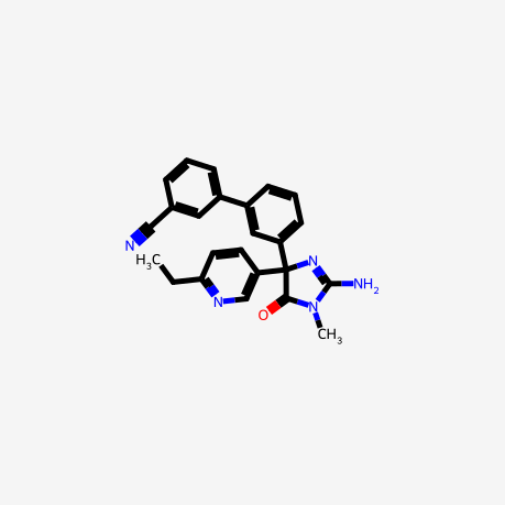 CCc1ccc(C2(c3cccc(-c4cccc(C#N)c4)c3)N=C(N)N(C)C2=O)cn1